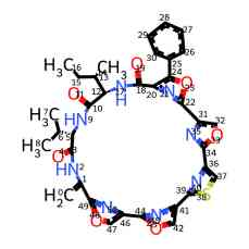 C=C1NC(=O)[C@H](C(C)C)NC(=O)[C@@H]([C@@H](C)CC)NC(=O)c2nc(oc2-c2ccccc2)-c2coc(n2)-c2csc(n2)-c2coc(n2)-c2coc1n2